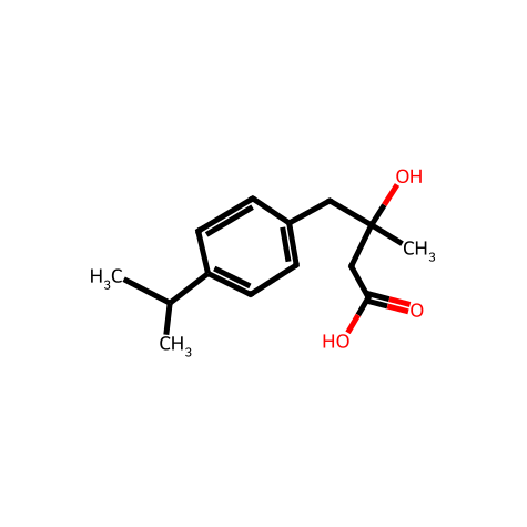 CC(C)c1ccc(CC(C)(O)CC(=O)O)cc1